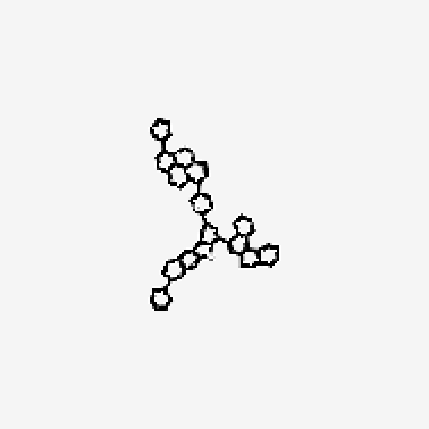 c1ccc(-c2ccc3cc4c(cc3c2)oc2c(-c3cc5ccc6ccccc6c5c5ccccc35)cc(-c3ccc(-c5ccc6ccc7c(-c8ccccc8)ccc8ccc5c6c87)cc3)cc24)cc1